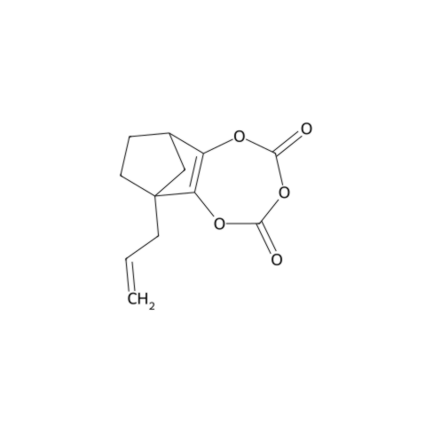 C=CCC12CCC(C1)C1=C2OC(=O)OC(=O)O1